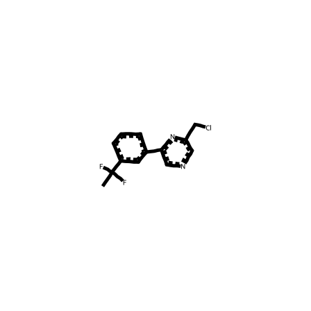 CC(F)(F)c1cccc(-c2cncc(CCl)n2)c1